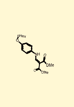 CCCCCCOc1ccc(NC=C(C(=O)OC)C(=O)OC)cc1